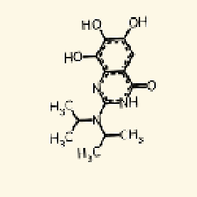 CC(C)N(c1nc2c(O)c(O)c(O)cc2c(=O)[nH]1)C(C)C